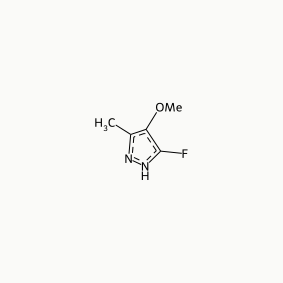 COc1c(C)n[nH]c1F